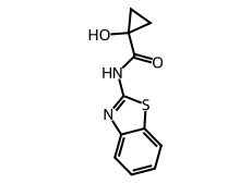 O=C(Nc1nc2ccccc2s1)C1(O)CC1